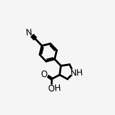 N#Cc1ccc(C2CNCC2C(=O)O)cc1